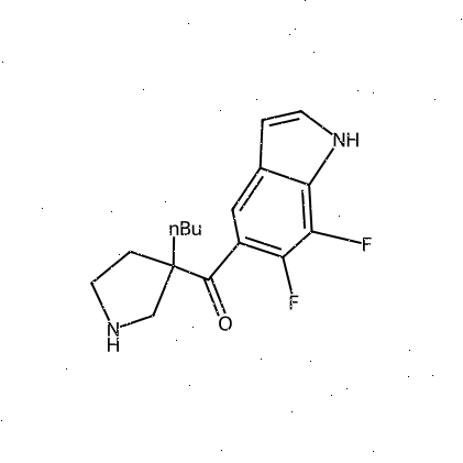 CCCCC1(C(=O)c2cc3cc[nH]c3c(F)c2F)CCNC1